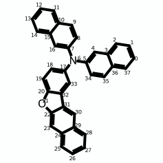 c1ccc2cc(N(c3ccc4ccccc4c3)c3ccc4oc5cc6ccccc6cc5c4c3)ccc2c1